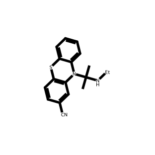 CCNC(C)(C)N1c2ccccc2Sc2ccc(C#N)cc21